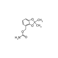 CC1(C)Oc2cccc(COC(N)=O)c2O1